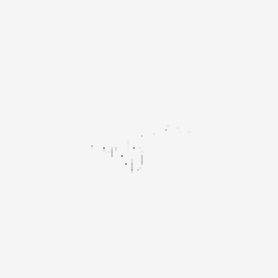 Fc1ccc(-c2cccc(-c3cn4ccnc4c(NCc4ccncc4)n3)c2)cc1C(F)(F)F